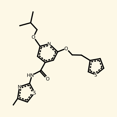 Cc1csc(NC(=O)c2cc(OCCc3ccsc3)nc(OCC(C)C)c2)n1